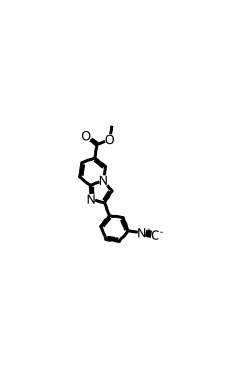 [C-]#[N+]c1cccc(-c2cn3cc(C(=O)OC)ccc3n2)c1